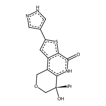 CC(C)[C@@]1(O)COCc2c1[nH]c(=O)c1sc(-c3cn[nH]c3)cc21